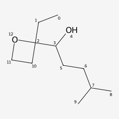 CCC1(C(O)CCC(C)C)CCO1